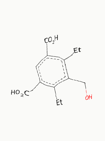 CCc1c(C(=O)O)cc(C(=O)O)c(CC)c1CO